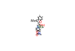 COc1ccccc1OCC(O)CN1CCC2(CC1)CN(C)C(=O)O2.Cl